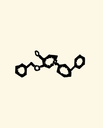 O=c1ccn(-c2cccc(-c3ccccc3)c2)cc1OCc1ccccc1